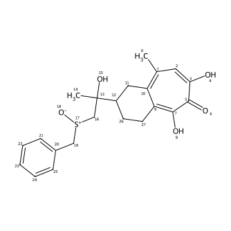 Cc1cc(O)c(=O)c(O)c2c1CC(C(C)(O)C[S+]([O-])Cc1ccccc1)CC2